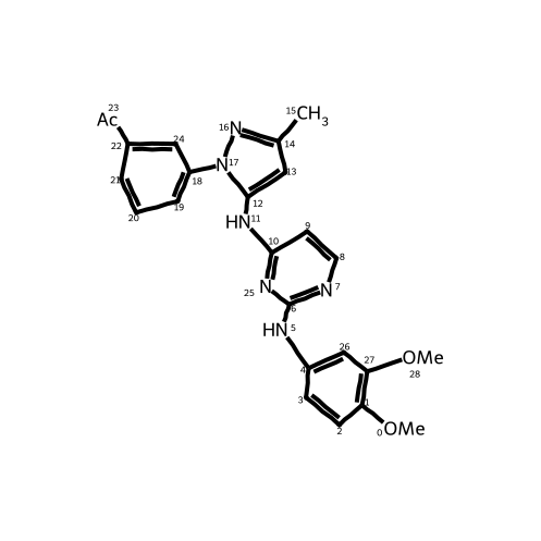 COc1ccc(Nc2nccc(Nc3cc(C)nn3-c3cccc(C(C)=O)c3)n2)cc1OC